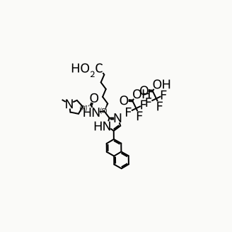 CN1CC[C@@H](C(=O)N[C@@H](CCCCCC(=O)O)c2ncc(-c3ccc4ccccc4c3)[nH]2)C1.O=C(O)C(F)(F)F.O=C(O)C(F)(F)F